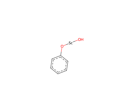 [OH][Sc][O]c1ccccc1